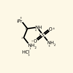 CC(C)C(CN)NS(N)(=O)=O.Cl